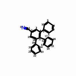 N#Cc1cc(-c2ccccc2)c(-c2ccccc2)c(-c2ccccc2)c1